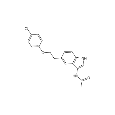 CC(=O)Nc1c[nH]c2ccc(CCOc3ccc(Cl)cc3)cc12